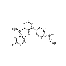 NC(=O)c1cccc(-c2ccc(C(=O)NO)cc2)c1Cc1ccc(F)cc1